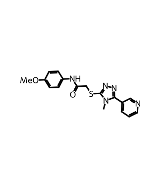 COc1ccc(NC(=O)CSc2nnc(-c3cccnc3)n2C)cc1